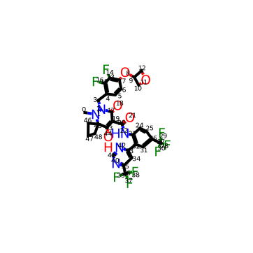 CN1N(Cc2ccc(OC3COC3)c(F)c2F)C(=O)C(C(=O)Nc2ccc(C(F)(F)F)cc2-c2cc(C(F)(F)F)ncn2)=C(O)C12CCC2